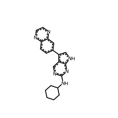 c1cnc2cc(-c3c[nH]c4nc(NC5CCCCC5)ncc34)ccc2n1